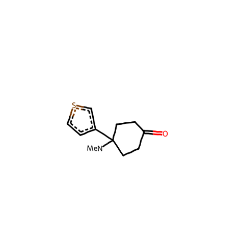 CNC1(c2ccsc2)CCC(=O)CC1